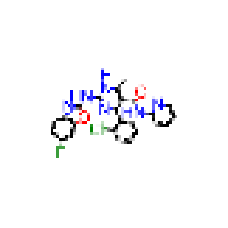 CC1=C(C(=O)Nc2ccccn2)C(c2ccccc2Cl)N=C(Nc2nc3ccc(F)cc3o2)N1